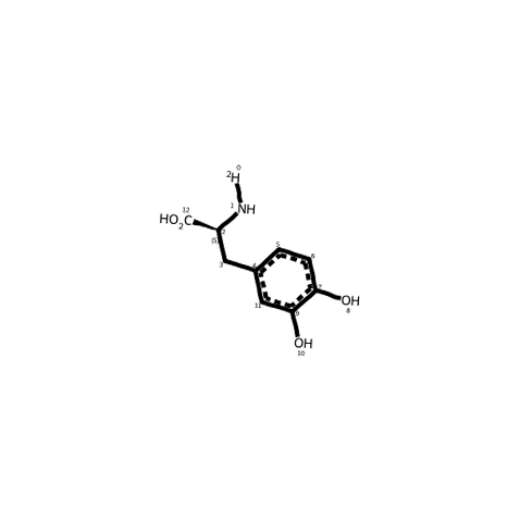 [2H]N[C@@H](Cc1ccc(O)c(O)c1)C(=O)O